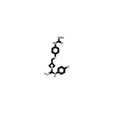 C=C(Nc1ccc(Cl)cc1)N1CC(COc2ccc(NC(=O)NC)cc2)C1